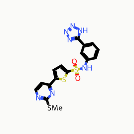 CSc1nccc(-c2ccc(S(=O)(=O)Nc3cccc(-c4nnn[nH]4)c3)s2)n1